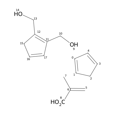 C1=CCC=C1.C=C(C)C(=O)O.OCC1=C(CO)CC=C1